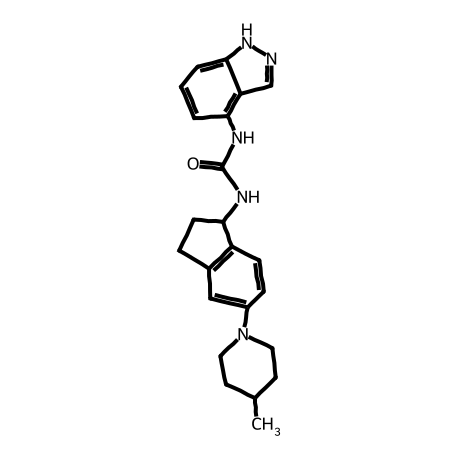 CC1CCN(c2ccc3c(c2)CCC3NC(=O)Nc2cccc3[nH]ncc23)CC1